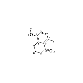 COc1ccc(C)c2c1CCCC2=O